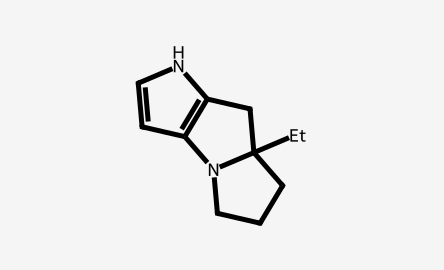 CCC12CCCN1c1cc[nH]c1C2